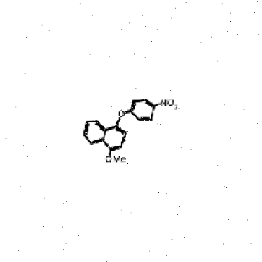 COc1ccc(Oc2ccc([N+](=O)[O-])cc2)c2ccccc12